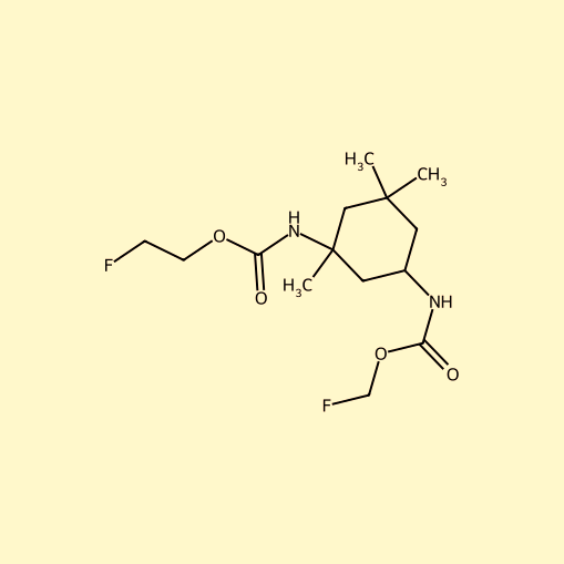 CC1(C)CC(NC(=O)OCF)CC(C)(NC(=O)OCCF)C1